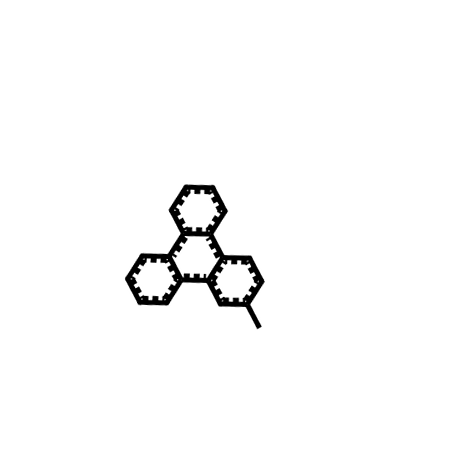 Cc1ccc2c3ccccc3c3ccccc3c2c1